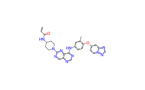 C=CC(=O)NC1CCN(c2ncc3ncnc(Nc4ccc(Oc5ccn6ncnc6c5)c(C)c4)c3n2)CC1